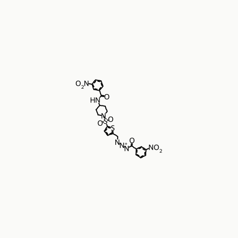 O=C(N=[N+]=NCc1ccc(S(=O)(=O)N2CCC(NC(=O)c3cccc([N+](=O)[O-])c3)CC2)s1)c1cccc([N+](=O)[O-])c1